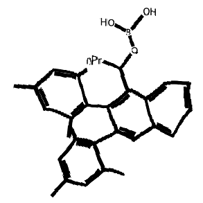 CCCC(OB(O)O)c1c(-c2c(C)cc(C)cc2C)c(-c2c(C)cc(C)cc2C)cc2ccccc12